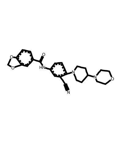 N#Cc1cc(NC(=O)c2ccc3c(c2)OCO3)ccc1N1CCC(N2CCOCC2)CC1